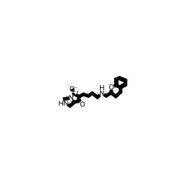 O=C1C2CNCN2[S+]([O-])C1CCCCNCC1CCc2ccccc2O1